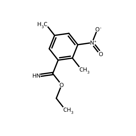 CCOC(=N)c1cc(C)cc([N+](=O)[O-])c1C